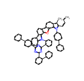 C=C/C=C\c1c(C)c2ccc3c4ccc5c6ccccc6n(-c6ccccc6-c6nc(-c7ccc(-c8ccccc8)cc7)nc(-c7ccccc7-c7ccccc7)n6)c5c4oc3c2n1-c1ccc(-c2ccccc2)cc1